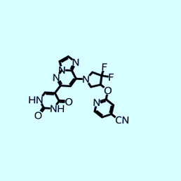 N#Cc1ccnc(OC2CN(c3cc(-c4c[nH]c(=O)[nH]c4=O)nn4ccnc34)CC2(F)F)c1